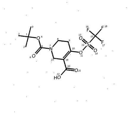 CC(C)(C)OC(=O)N1CCC(OS(=O)(=O)C(F)(F)F)=C(C(=O)O)C1